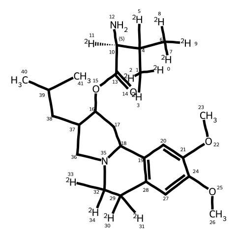 [2H]C([2H])([2H])C([2H])(C([2H])([2H])[2H])[C@]([2H])(N)C(=O)OC1CC2c3cc(OC)c(OC)cc3C([2H])([2H])C([2H])([2H])N2CC1CC(C)C